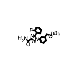 CCCCOCc1cccc(-n2nc(C(N)=O)nc2-c2ccccc2F)c1